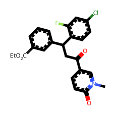 CCOC(=O)c1cccc(C(CC(=O)c2ccc(=O)n(C)c2)c2ccc(Cl)cc2F)c1